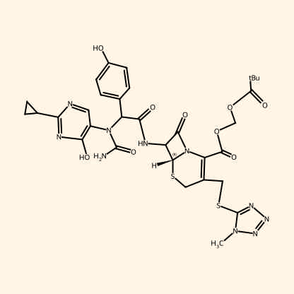 Cn1nnnc1SCC1=C(C(=O)OCOC(=O)C(C)(C)C)N2C(=O)C(NC(=O)C(c3ccc(O)cc3)N(C(N)=O)c3cnc(C4CC4)nc3O)[C@H]2SC1